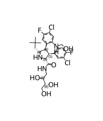 CC(C)(C)C[C@H]1N[C@@H](C(=O)NC[C@H](O)[C@H](O)CO)[C@H](c2ccc(F)c(Cl)c2)[C@@H]1c1cc(F)c(Cl)cc1NCO